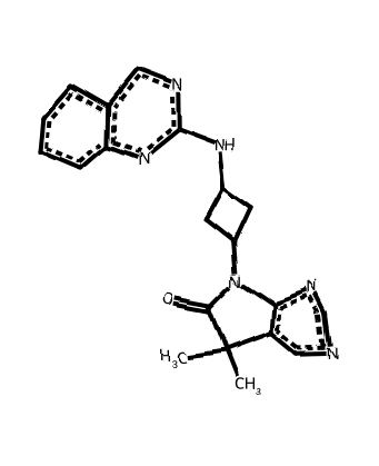 CC1(C)C(=O)N(C2CC(Nc3ncc4ccccc4n3)C2)c2ncncc21